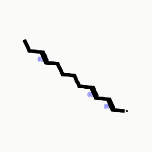 [CH2]/C=C/C=C/CCCC/C=C/CC